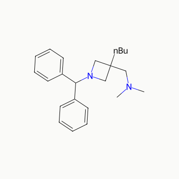 CCCCC1(CN(C)C)CN(C(c2ccccc2)c2ccccc2)C1